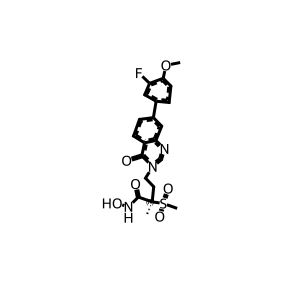 COc1ccc(-c2ccc3c(=O)n(CC[C@](C)(C(=O)NO)S(C)(=O)=O)cnc3c2)cc1F